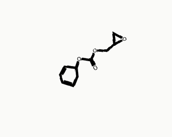 O=C(OCC1CO1)OC1C=CC=CC1